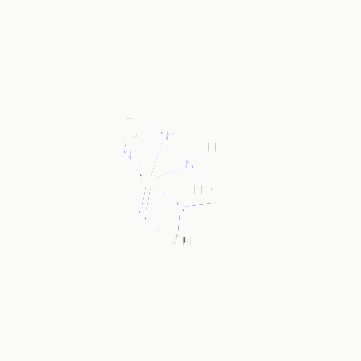 C[N](C)[Ta](=[N]C(C)(C)C)(=[N]C(C)(C)C)([N](C)C)[N](C)C